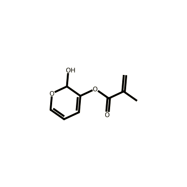 C=C(C)C(=O)OC1=CC=COC1O